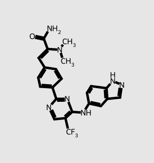 CN(C)C(=Cc1ccc(-c2ncc(C(F)(F)F)c(Nc3ccc4[nH]ncc4c3)n2)cc1)C(N)=O